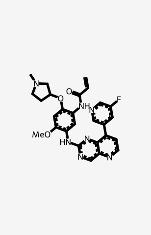 C=CC(=O)Nc1cc(Nc2ncc3nccc(-c4cncc(F)c4)c3n2)c(OC)cc1OC1CCN(C)C1